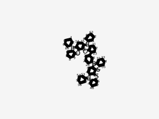 c1ccc(B2c3ccccc3Oc3c2ccc2c3Oc3c(cccc3-c3cccc(B4c5ccccc5Sc5c4ccc4c5Sc5ccccc5B4c4ccccc4)c3)B2c2ccccc2)cc1